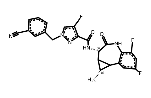 C[C@H]1C2c3cc(F)cc(F)c3NC(=O)[C@@H](NC(=O)c3nn(Cc4cccc(C#N)c4)cc3F)C21